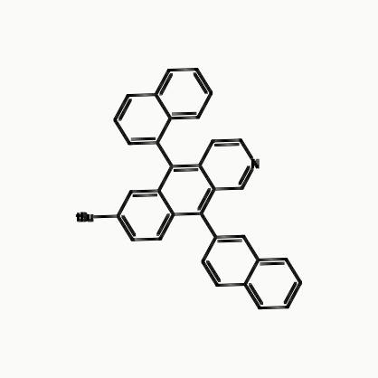 CC(C)(C)c1ccc2c(-c3ccc4ccccc4c3)c3cnccc3c(-c3cccc4ccccc34)c2c1